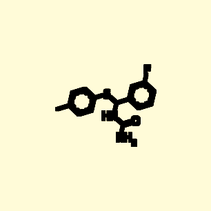 Cc1ccc(SC(NC(N)=O)c2cccc(F)c2)cc1